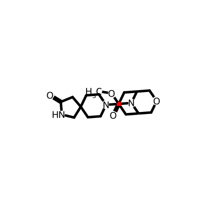 COC(=O)N1C2COCC1CC(N1CCC3(CC1)CNC(=O)C3)C2